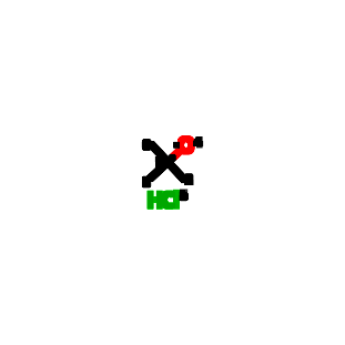 CC(C)(C)[O].Cl